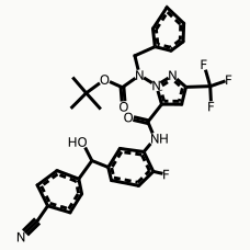 CC(C)(C)OC(=O)N(Cc1ccccc1)n1nc(C(F)(F)F)cc1C(=O)Nc1cc(C(O)c2ccc(C#N)cc2)ccc1F